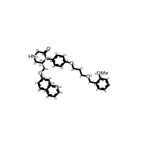 COc1ccccc1COCCCOc1ccc(N2C(=O)CNC[C@@H]2COc2ccc3cccnc3c2)cc1